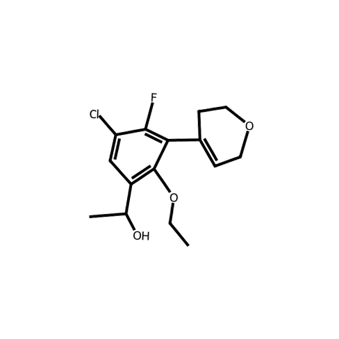 CCOc1c(C(C)O)cc(Cl)c(F)c1C1=CCOCC1